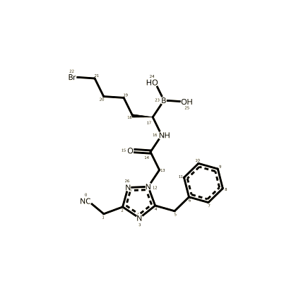 N#CCc1nc(Cc2ccccc2)n(CC(=O)N[C@@H](CCCCBr)B(O)O)n1